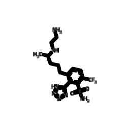 CC(CCCc1ccc(C(F)(F)F)c(S(N)(=O)=O)c1-c1nnn[nH]1)NCCN